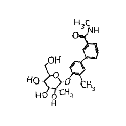 CNC(=O)c1cccc(-c2ccc(O[C@H]3OC(CO)[C@@H](O)C(O)[C@]3(C)O)c(C)c2)c1